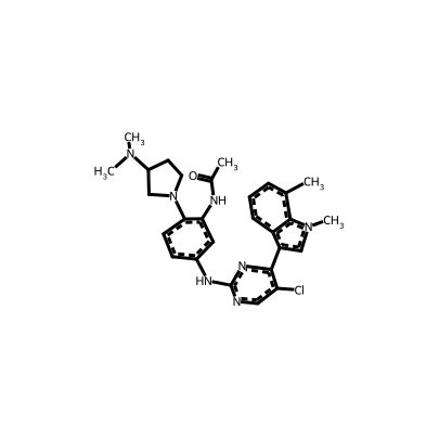 CC(=O)Nc1cc(Nc2ncc(Cl)c(-c3cn(C)c4c(C)cccc34)n2)ccc1N1CCC(N(C)C)C1